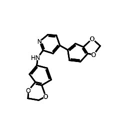 c1cc(-c2ccc3c(c2)OCO3)cc(Nc2ccc3c(c2)OCCO3)n1